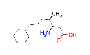 C[C@H](CCCC1CCCCC1)[C@H](N)CC(=O)O